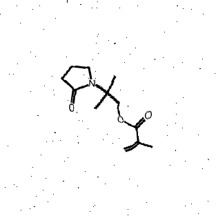 C=C(C)C(=O)OCC(C)(C)N1CCCC1=O